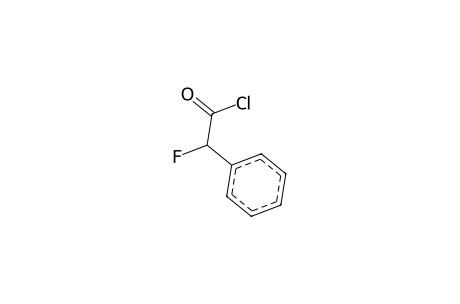 O=C(Cl)C(F)c1ccccc1